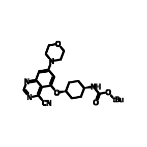 CC(C)(C)OC(=O)N[C@H]1CC[C@@H](Oc2cc(N3CCOCC3)cc3ncnc(C#N)c23)CC1